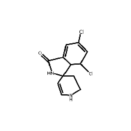 O=C1NC2(C=CNCC2)C2C1=CC(Cl)=CC2Cl